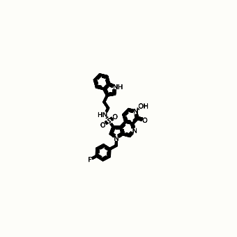 O=c1c2ncc3c(c(S(=O)(=O)NCCc4c[nH]c5ccccc45)cn3Cc3ccc(F)cc3)c2ccn1O